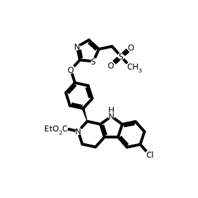 CCOC(=O)N1CCc2c([nH]c3c2=CC(Cl)CC=3)[C@@H]1c1ccc(Oc2ncc(CS(C)(=O)=O)s2)cc1